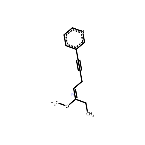 CC/C(=C\CC#Cc1cccnc1)OC